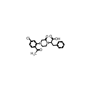 CC(=O)c1ccc(Cl)cc1N1CCN(C(Cc2ccccc2)C(=O)O)C(=O)C1